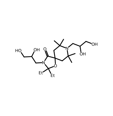 CCC1(CC)OC2(CC(C)(C)N(CC(O)CO)C(C)(C)C2)C(=O)N1CC(O)CO